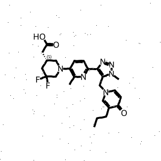 CCCc1cn(Cc2c(-c3ccc(N4C[C@@H](CC(=O)O)CC(F)(F)C4)c(C)n3)nnn2C)ccc1=O